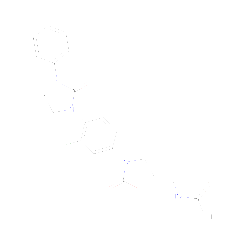 CC(=S)NC[C@H]1CN(c2ccc(N3CCN(c4ccccc4)C3=O)c(F)c2)C(=O)O1